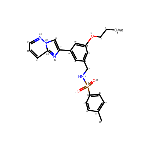 COCCOc1cc(CNS(=O)(=O)c2ccc(C)cc2)cc(-c2cn3ncccc3n2)c1